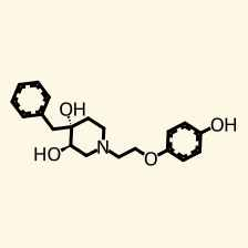 Oc1ccc(OCCN2CC[C@](O)(Cc3ccccc3)[C@H](O)C2)cc1